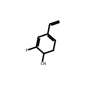 C=CC1=CCC(C#N)C(F)=C1